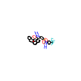 O=C1Nc2ccc(S(=O)(=O)Nc3ccc(C(F)(F)F)cc3)cc2C1C1(Cc2cccc3ccccc23)C=Cc2ccccc21